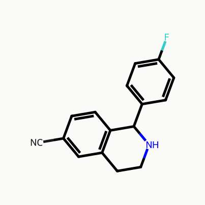 N#Cc1ccc2c(c1)CCNC2c1ccc(F)cc1